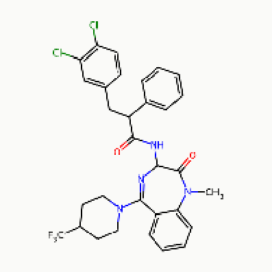 CN1C(=O)C(NC(=O)C(Cc2ccc(Cl)c(Cl)c2)c2ccccc2)N=C(N2CCC(C(F)(F)F)CC2)c2ccccc21